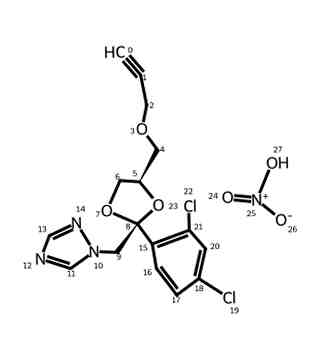 C#CCOC[C@@H]1CO[C@@](Cn2cncn2)(c2ccc(Cl)cc2Cl)O1.O=[N+]([O-])O